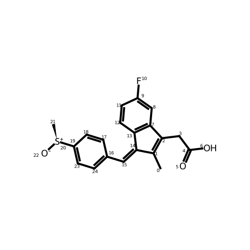 CC1=C(CC(=O)O)c2cc(F)ccc2/C1=C\c1ccc([S@+](C)[O-])cc1